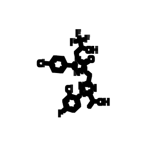 CC(O)c1nc(Cn2nc(-c3ccc(Cl)cc3)n(CC(O)C(F)(F)F)c2=O)nn1-c1ccc(F)cc1Cl